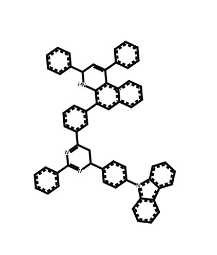 C1=C(c2ccccc2)c2c(c(-c3cccc(C4=NC(c5ccccc5)=NC(c5ccc(-n6c7ccccc7c7ccccc76)cc5)C4)c3)cc3ccccc23)NC1c1ccccc1